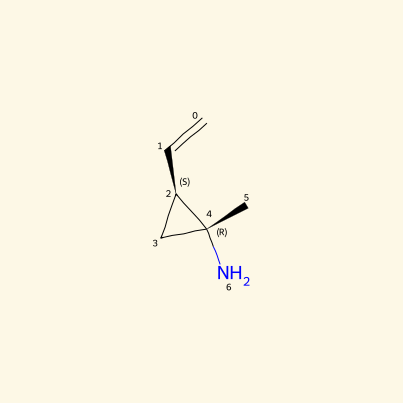 C=C[C@@H]1C[C@@]1(C)N